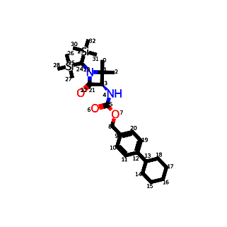 CC1(C)[C@@H](NC(=O)OCc2ccc(C3CCCCC3)cc2)C(=O)N1C([Si](C)(C)C)[Si](C)(C)C